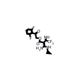 N=C(/C(C(=O)OCC(=O)c1c(F)cccc1F)=C(/N)NC1CC1)C(F)(F)F